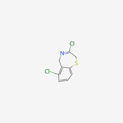 ClC1=NCc2c(Cl)cccc2SC1